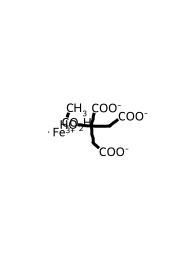 CC(=O)O.O=C([O-])CC(O)(CC(=O)[O-])C(=O)[O-].[Fe+3]